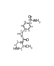 C[C@H]1CNCCN1C(=O)C1CC1c1ccc(C(N)=O)cc1